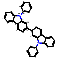 C1=c2c(n(-c3ccccc3)c3ccccc23)=CC(c2ccc3c4ccccc4n(-c4ccccc4)c3c2)C1